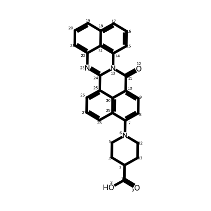 O=C(O)C1CCN(c2ccc3c(=O)n4c5cccc6cccc(nc4c4cccc2c34)c65)CC1